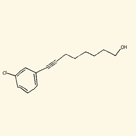 OCCCCCCC#Cc1cccc(Cl)c1